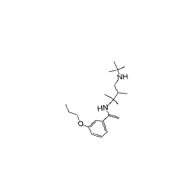 C=C(NC(C)(C)C(C)CNC(C)(C)C)c1cccc(OCCC)c1